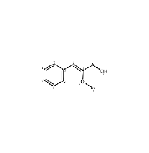 CCOC(=Cc1ccccc1)CO